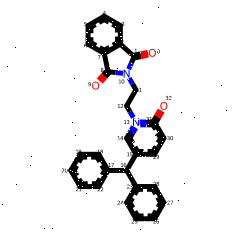 O=C1c2ccccc2C(=O)N1CCn1cc(C(c2ccccc2)c2ccccc2)ccc1=O